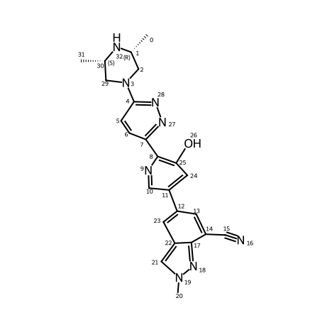 C[C@@H]1CN(c2ccc(-c3ncc(-c4cc(C#N)c5nn(C)cc5c4)cc3O)nn2)C[C@H](C)N1